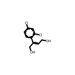 OC/C=C(/CO)c1ccc(Cl)cc1Cl